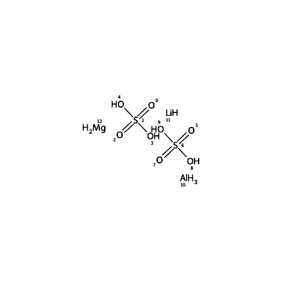 O=S(=O)(O)O.O=S(=O)(O)O.[AlH3].[LiH].[MgH2]